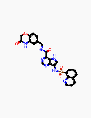 O=C1COc2ccc(CNC(=O)c3ncnc4c(NS(=O)(=O)c5cccc6cccnc56)c[nH]c34)cc2N1